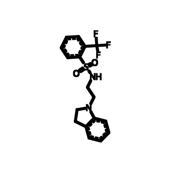 O=S(=O)(NCCN1CCc2ccccc21)c1ccccc1C(F)(F)F